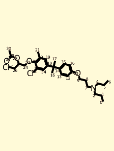 CCCN(CCC)CCCOc1ccc(C(C)(C)c2cc(C)c(OCC(CCl)OC(C)=O)c(Cl)c2)cc1